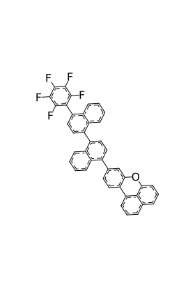 Fc1c(F)c(F)c(-c2ccc(-c3ccc(-c4ccc5c(c4)Oc4cccc6cccc-5c46)c4ccccc34)c3ccccc23)c(F)c1F